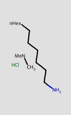 CCCCCCCCCCCCN.CNC.Cl